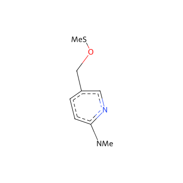 CNc1ccc(COSC)cn1